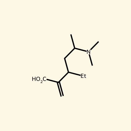 C=C(C(=O)O)C(CC)CC(C)N(C)C